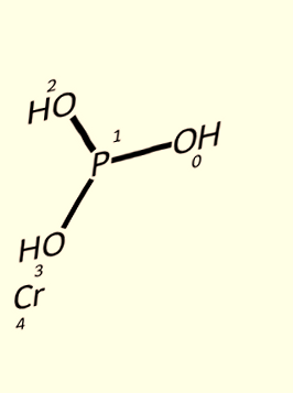 OP(O)O.[Cr]